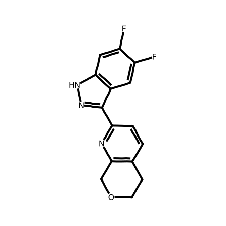 Fc1cc2[nH]nc(-c3ccc4c(n3)COCC4)c2cc1F